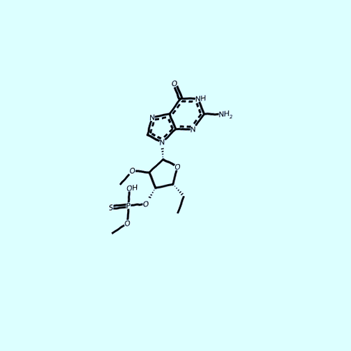 CC[C@H]1O[C@@H](n2cnc3c(=O)[nH]c(N)nc32)C(OC)[C@H]1OP(O)(=S)OC